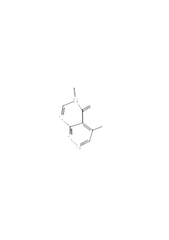 Cc1cnnc2ncn(C)c(=O)c12